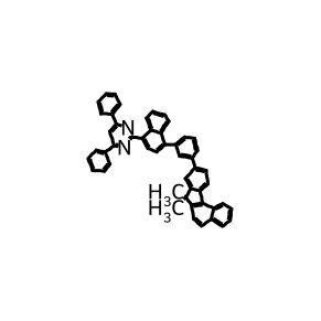 CC1(C)c2cc(-c3cccc(-c4ccc(-c5nc(-c6ccccc6)cc(-c6ccccc6)n5)c5ccccc45)c3)ccc2-c2c1ccc1ccccc21